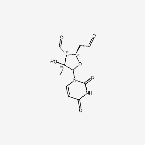 C[C@@]1(O)C(n2ccc(=O)[nH]c2=O)O[C@H](CC=O)[C@H]1C=O